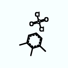 Cc1cccc(C)c1C.O=S(=O)(Cl)Cl